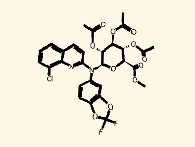 COC(=O)[C@H]1O[C@@H](N(c2ccc3c(c2)OC(F)(F)O3)c2ccc3cccc(Cl)c3n2)[C@H](OC(C)=O)[C@@H](OC(C)=O)[C@@H]1OC(C)=O